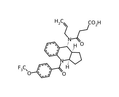 C=CCN(C(=O)CCC(=O)O)[C@H]1c2ccccc2N(C(=O)c2ccc(OC(F)(F)F)cc2)[C@@H]2CCC[C@@H]21